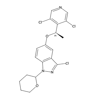 C[C@@H](Oc1ccc2c(c1)c(Cl)nn2C1CCCCO1)c1c(Cl)cncc1Cl